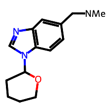 CNCc1ccc2c(c1)ncn2C1CCCCO1